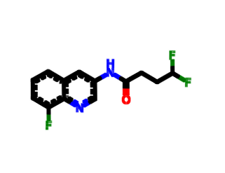 O=C(CCC(F)F)Nc1cnc2c(F)cccc2c1